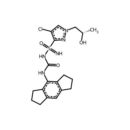 C[C@H](O)Cn1cc(Cl)c(S(=N)(=O)NC(=O)Nc2c3c(cc4c2CCC4)CCC3)n1